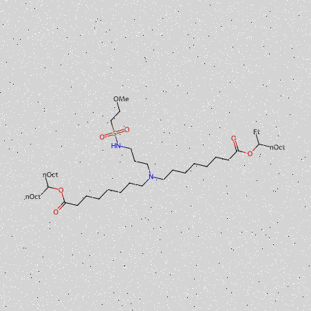 CCCCCCCCC(CC)OC(=O)CCCCCCCN(CCCCCCCC(=O)OC(CCCCCCCC)CCCCCCCC)CCCNS(=O)(=O)CCOC